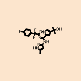 Cc1cc(Nc2nc(C(F)(F)c3ccc(F)cc3)nn3cc(C(C)(C)O)cc23)n[nH]1